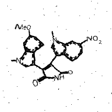 COc1ccc2c(C3=C(c4cn(C)c5cc([N+](=O)[O-])ccc45)C(=O)NC3=O)cn(C)c2c1